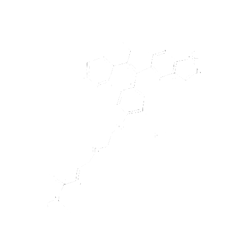 CC/C(=C(/c1ccc(OCCNC/C=C/C(=O)N(C)C)cc1)c1ccc2[nH]ncc2c1)c1ccccc1.Cl